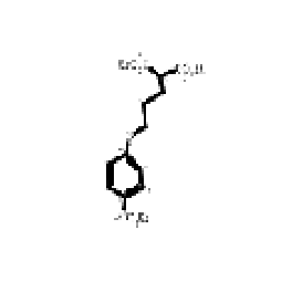 CCOC(=O)c1ccc(OCCCC(C(=O)OCC)C(=O)OCC)cc1